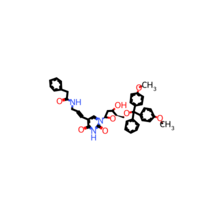 COc1ccc(C(OC[C@H]2O[C@@H](n3cc(C#CCNC(=O)Cc4ccccc4)c(=O)[nH]c3=O)CC2O)(c2ccccc2)c2ccc(OC)cc2)cc1